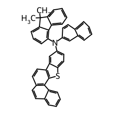 CC1(C)c2ccccc2-c2c(N(c3ccc4ccccc4c3)c3ccc4sc5c(ccc6ccc7ccccc7c65)c4c3)cccc21